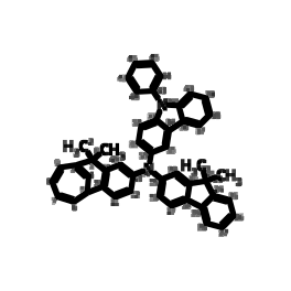 CC1(C)C2=CC(C=CC=C2)c2ccc(N(c3ccc4c(c3)C(C)(C)c3ccccc3-4)c3ccc4c(c3)c3ccccc3n4-c3ccccc3)cc21